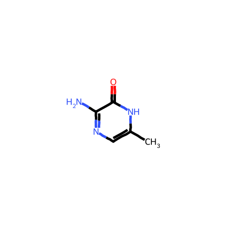 Cc1cnc(N)c(=O)[nH]1